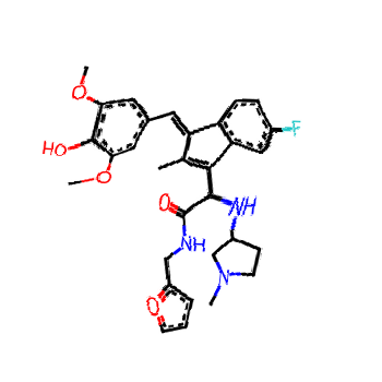 COc1cc(C=C2C(C)=C(C(NC3CCN(C)C3)C(=O)NCc3ccco3)c3cc(F)ccc32)cc(OC)c1O